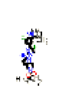 CC(C)c1c2cc(-c3nc(Nc4ccc5c(n4)CCN(C(=O)OC(C)(C)C)C5)ncc3F)cc(F)c2nn1C